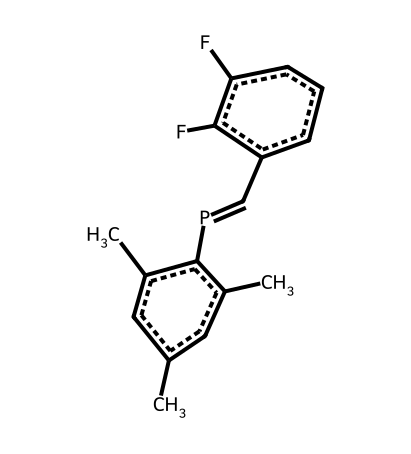 Cc1cc(C)c(P=Cc2cccc(F)c2F)c(C)c1